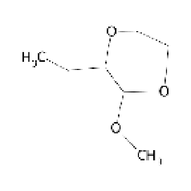 CCC1OCCOC1OC